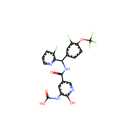 O=C(O)Nc1cc(C(=O)NC(c2ccc(OC(F)(F)F)c(F)c2)c2ncccc2F)cnc1O